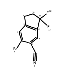 N#Cc1cc2c(cc1Br)CCC2(F)F